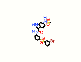 CS(=O)(=O)Nc1ccc2c(C(=O)Nc3cccc(S(=O)(=O)c4cccc(Br)c4)c3)c[nH]c2c1